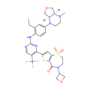 CCc1cc(N2CCN(C)[C@@H]3COC[C@@H]32)ccc1Nc1ncc(C(F)(F)F)c(-c2cc3c(s2)C(=O)N(C2COC2)CCS3(=O)=O)n1